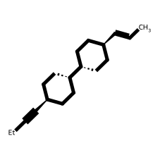 CC=C[C@H]1CC[C@H]([C@H]2CC[C@H](C#CCC)CC2)CC1